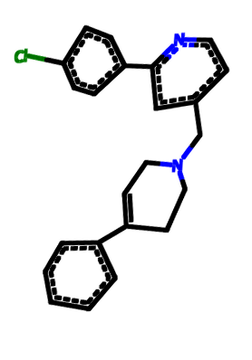 Clc1ccc(-c2cc(CN3CC=C(c4ccccc4)CC3)ccn2)cc1